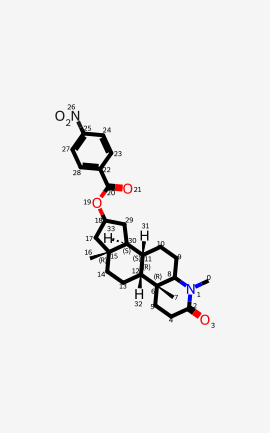 CN1C(=O)CC[C@@]2(C)C1CC[C@@H]1[C@H]2CC[C@]2(C)CC(OC(=O)c3ccc([N+](=O)[O-])cc3)C[C@@H]12